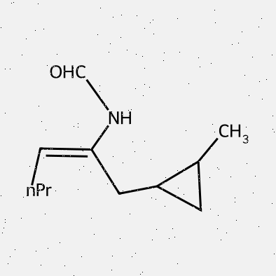 CCC/C=C(\CC1CC1C)NC=O